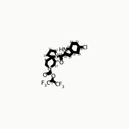 O=C(OC(C(F)(F)F)C(F)(F)F)N1CCC2(CCCN2C(=O)c2cc3cc(Cl)ccc3[nH]2)CC1